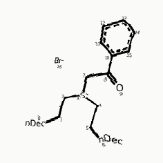 CCCCCCCCCCCC[S+](CCCCCCCCCCCC)CC(=O)c1ccccc1.[Br-]